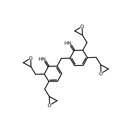 N=C1C(CC2=CC=C(CC3CO3)C(CC3CO3)C2=N)=CC=C(CC2CO2)C1CC1CO1